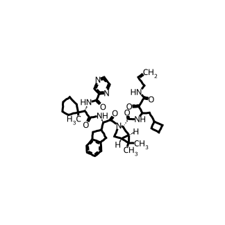 C=CCNC(=O)C(=O)C(CC1CCC1)NC(=O)[C@@H]1[C@@H]2[C@H](CN1C(=O)[C@@H](NC(=O)[C@@H](NC(=O)c1cnccn1)C1(C)CCCCC1)C1Cc3ccccc3C1)C2(C)C